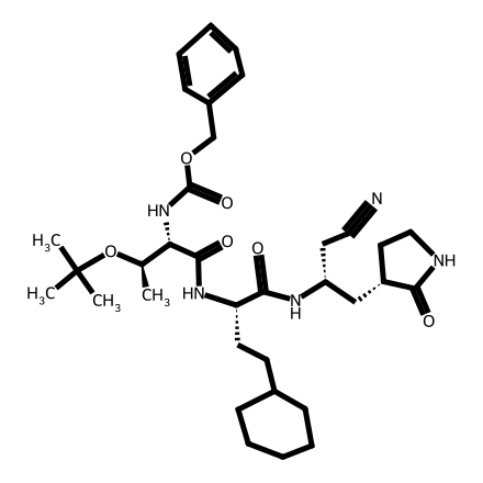 C[C@@H](OC(C)(C)C)[C@H](NC(=O)OCc1ccccc1)C(=O)N[C@@H](CCC1CCCCC1)C(=O)N[C@H](CC#N)C[C@@H]1CCNC1=O